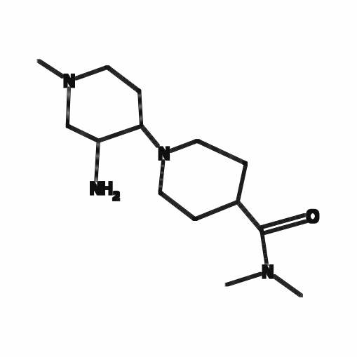 CN1CCC(N2CCC(C(=O)N(C)C)CC2)C(N)C1